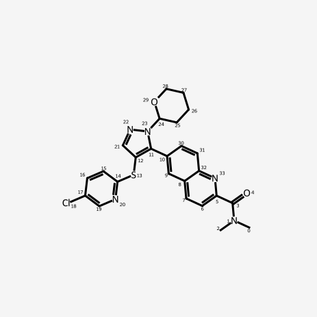 CN(C)C(=O)c1ccc2cc(-c3c(Sc4ccc(Cl)cn4)cnn3C3CCCCO3)ccc2n1